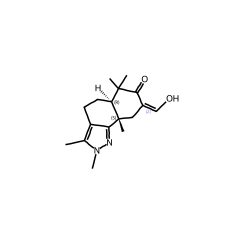 Cc1c2c(nn1C)[C@@]1(C)C/C(=C/O)C(=O)C(C)(C)[C@@H]1CC2